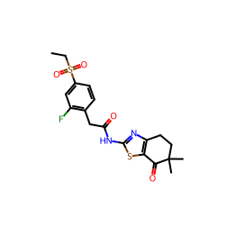 CCS(=O)(=O)c1ccc(CC(=O)Nc2nc3c(s2)C(=O)C(C)(C)CC3)c(F)c1